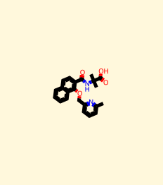 Cc1cccc(COc2c(C(=O)NC(C)(C)C(=O)O)ccc3ccccc23)n1